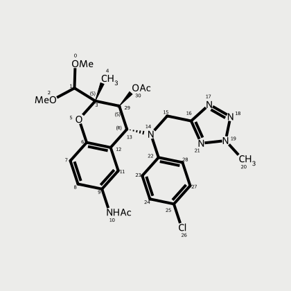 COC(OC)[C@@]1(C)Oc2ccc(NC(C)=O)cc2[C@@H](N(Cc2nnn(C)n2)c2ccc(Cl)cc2)[C@@H]1OC(C)=O